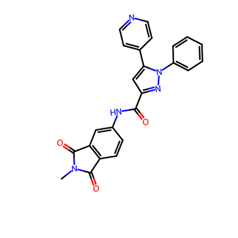 CN1C(=O)c2ccc(NC(=O)c3cc(-c4ccncc4)n(-c4ccccc4)n3)cc2C1=O